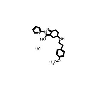 COc1ccc(CCNC2CCc3nn(-c4ccccn4)c(O)c3C2)cc1.Cl